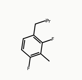 Cc1c(F)ccc(CC(C)C)c1F